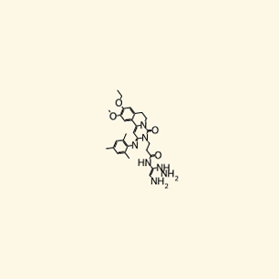 CCOc1cc2c(cc1OC)-c1c/c(=N\c3c(C)cc(C)cc3C)n(CCC(=O)N/C(=C/N)NN)c(=O)n1CC2